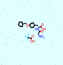 NCC(=O)N[C@@H](Cc1ccc(OCc2ccccc2)cc1)C(=O)O.O=C(O)C(F)(F)F